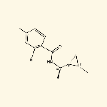 Cc1ccc(C(=O)N[C@H](C)[C@@H]2C[C@@H]2C)c(Br)c1